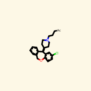 CC(=O)CCCN1CCC(=C2c3ccccc3COc3ccc(Cl)cc32)CC1